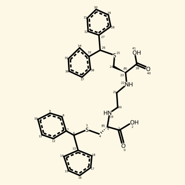 O=C(O)[C@H](CSC(c1ccccc1)c1ccccc1)NCCN[C@@H](CSC(c1ccccc1)c1ccccc1)C(=O)O